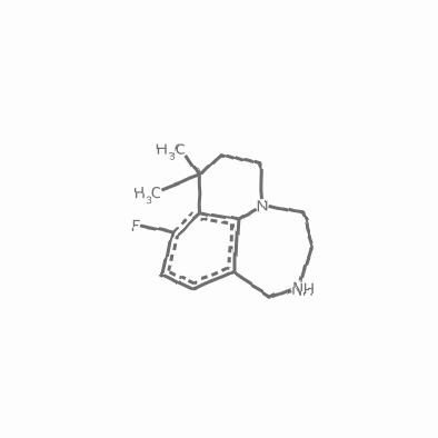 CC1(C)CCN2CCNCc3ccc(F)c1c32